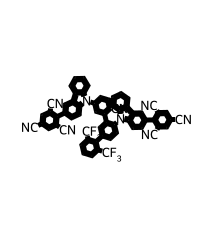 N#Cc1cc(C#N)c(-c2ccc3c(c2)c2ccccc2n3-c2ccc(C#N)c(-c3cc(-c4c(C(F)(F)F)cccc4C(F)(F)F)ccc3-n3c4ccccc4c4cc(-c5c(C#N)cc(C#N)cc5C#N)ccc43)c2)c(C#N)c1